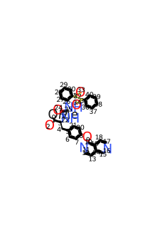 COC(=O)[C@H](Cc1ccc(Oc2nccc3cnccc23)cc1)NC(=O)Nc1ccccc1S(=O)(=O)c1ccccc1